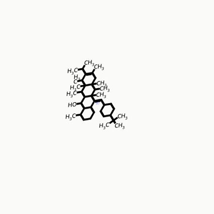 CC1=C(C(C)C)C(C)C2(C)C(C)C3C(O)C4C(C)CCCC4/C(=C\C4CCC(C(C)(C)C)CC4)C3(C)C(C)C2(C)C1